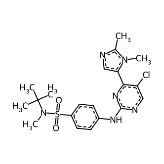 Cc1ncc(-c2nc(Nc3ccc(S(=O)(=O)N(C)C(C)(C)C)cc3)ncc2Cl)n1C